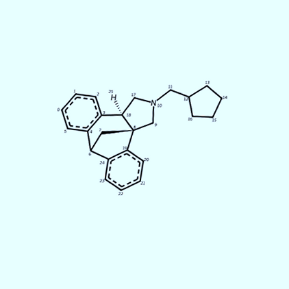 c1ccc2c(c1)C1C[C@@]3(CN(CC4CCCC4)C[C@H]23)c2ccccc21